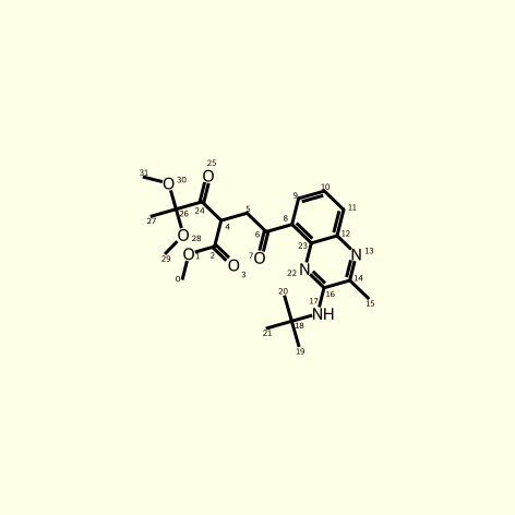 COC(=O)C(CC(=O)c1cccc2nc(C)c(NC(C)(C)C)nc12)C(=O)C(C)(OC)OC